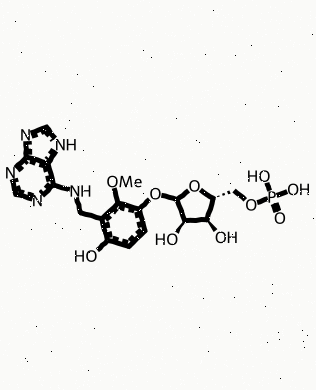 COc1c(OC2O[C@H](COP(=O)(O)O)[C@@H](O)[C@H]2O)ccc(O)c1CNc1ncnc2nc[nH]c12